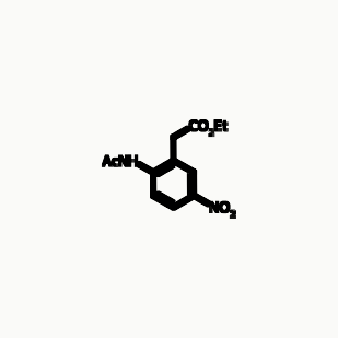 CCOC(=O)Cc1cc([N+](=O)[O-])ccc1NC(C)=O